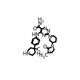 CN1CCN(C2CCCN(c3nnc(C(N)=O)c(Nc4ccc(C5(C)CCNCC5)cc4)n3)C2)C1=O